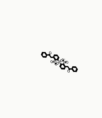 O=C(Cc1cccc(S(=O)(=O)c2cccc(CC(=O)c3ccccc3)c2[N+](=O)[O-])c1[N+](=O)[O-])c1ccccc1